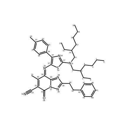 CCCCC(CC)CN(CC(CC)CCCC)c1nc(-c2ccc(C)cc2)c(/N=C2/C(C)=C(C#N)C(=O)n3nc(CCc4ccccc4)nc32)s1